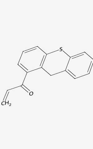 C=CC(=O)c1cccc2c1Cc1ccccc1S2